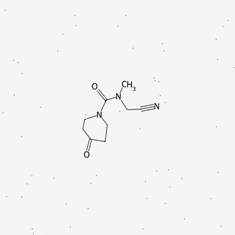 CN(CC#N)C(=O)N1CCC(=O)CC1